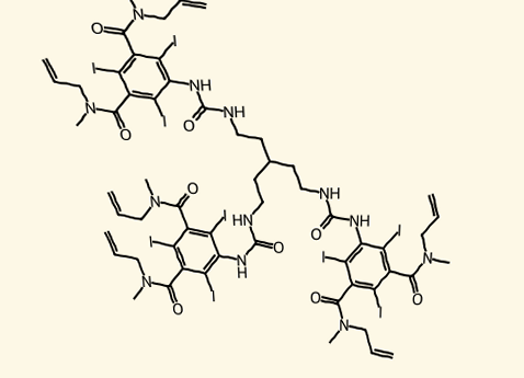 C=CCN(C)C(=O)c1c(I)c(NC(=O)NCCC(CCNC(=O)Nc2c(I)c(C(=O)N(C)CC=C)c(I)c(C(=O)N(C)CC=C)c2I)CCNC(=O)Nc2c(I)c(C(=O)N(C)CC=C)c(I)c(C(=O)N(C)CC=C)c2I)c(I)c(C(=O)N(C)CC=C)c1I